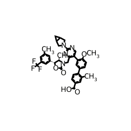 COc1ccc(-c2ccc(C(=O)O)cc2C)cc1-c1cnc(N2CC3CC3C2)nc1CN1C(=O)O[C@H](c2cc(C)cc(C(F)(F)F)c2)[C@@H]1C